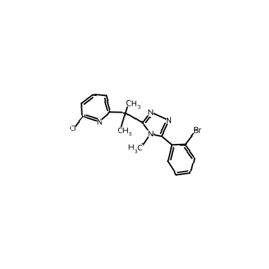 Cn1c(-c2ccccc2Br)nnc1C(C)(C)c1cccc(Cl)n1